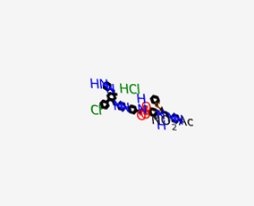 CC(=O)N1CCN(CCC(CSc2ccccc2)Nc2ccc(S(=O)(=O)NC(=O)c3ccc(N4CCN(CC5=C(c6ccc(Cl)cc6)CCC(C)(CN6CCNCC6)C5)CC4)cc3)cc2[N+](=O)[O-])CC1.Cl